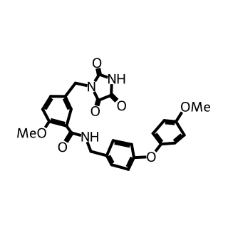 COc1ccc(Oc2ccc(CNC(=O)c3cc(CN4C(=O)NC(=O)C4=O)ccc3OC)cc2)cc1